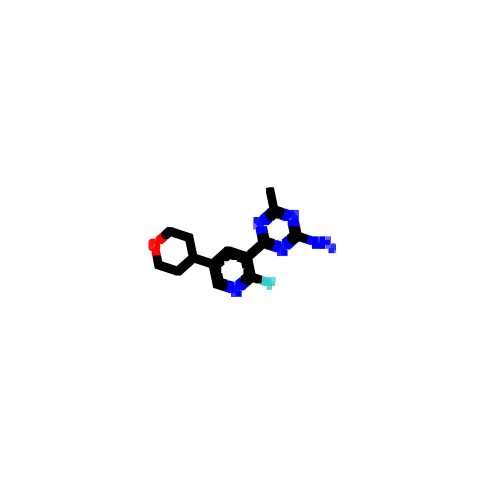 Cc1nc(N)nc(-c2cc(C3CCOCC3)cnc2F)n1